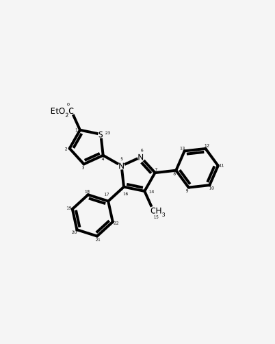 CCOC(=O)c1ccc(-n2nc(-c3ccccc3)c(C)c2-c2ccccc2)s1